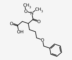 CON(C)C(=O)C(CCCOCc1ccccc1)CC(=O)O